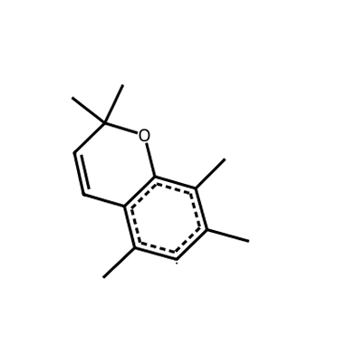 Cc1[c]c(C)c2c(c1C)OC(C)(C)C=C2